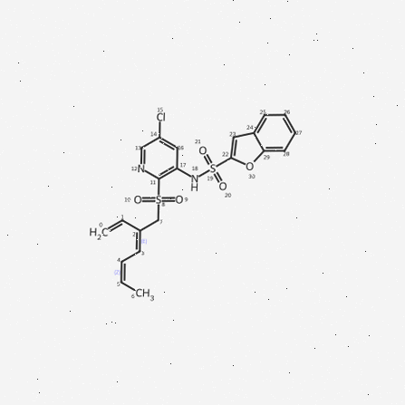 C=C/C(=C\C=C/C)CS(=O)(=O)c1ncc(Cl)cc1NS(=O)(=O)c1cc2ccccc2o1